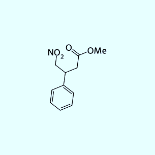 COC(=O)CC(C[N+](=O)[O-])c1ccccc1